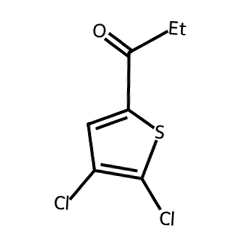 CCC(=O)c1cc(Cl)c(Cl)s1